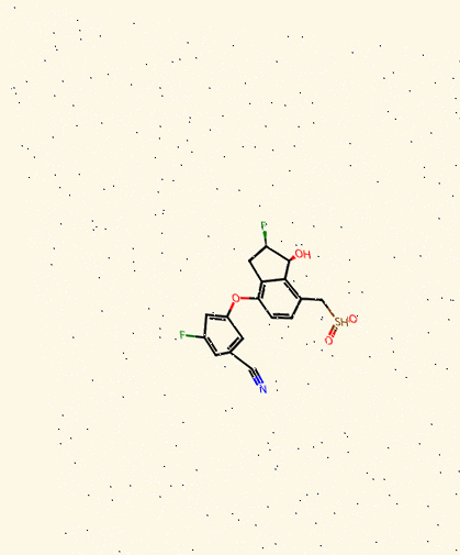 N#Cc1cc(F)cc(Oc2ccc(C[SH](=O)=O)c3c2C[C@@H](F)[C@H]3O)c1